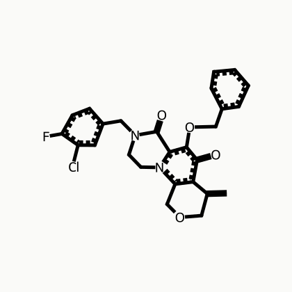 C=C1COCc2c1c(=O)c(OCc1ccccc1)c1n2CCN(Cc2ccc(F)c(Cl)c2)C1=O